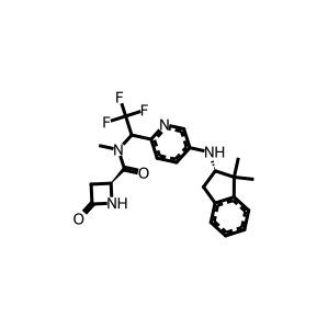 CN(C(=O)[C@@H]1CC(=O)N1)C(c1ccc(N[C@H]2Cc3ccccc3C2(C)C)cn1)C(F)(F)F